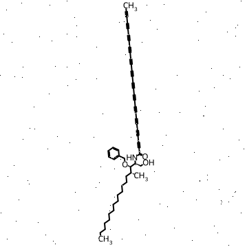 CC#CC#CC#CC#CC#CC#CC#CC#CC#CC#CC#CC#CC(=O)N[C@@H](CO)[C@H](OCc1ccccc1)[C@H](C)CCCCCCCCCCCCCC